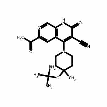 BC(B)(B)OC1(C)CCN(c2c(C#N)c(=O)[nH]c3cnc(C(C)=O)cc23)CC1